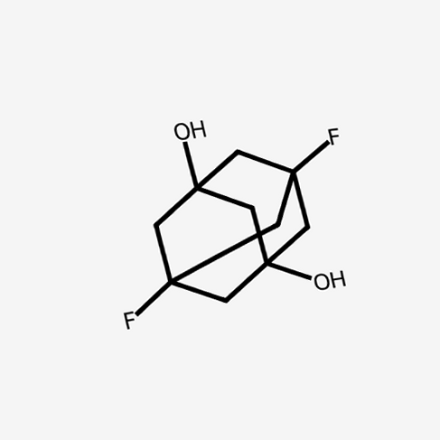 OC12CC3(O)CC(F)(C1)CC(F)(C2)C3